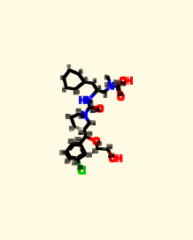 CN(C[C@H](CC1CCCCC1)NC(=O)N1CCC[C@@H]([C@@H](OCCO)c2cccc(Cl)c2)C1)C(=O)O